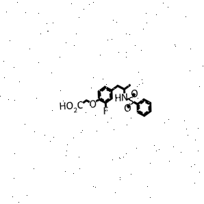 CC(Cc1ccc(OCC(=O)O)c(F)c1)NS(=O)(=O)c1ccccc1